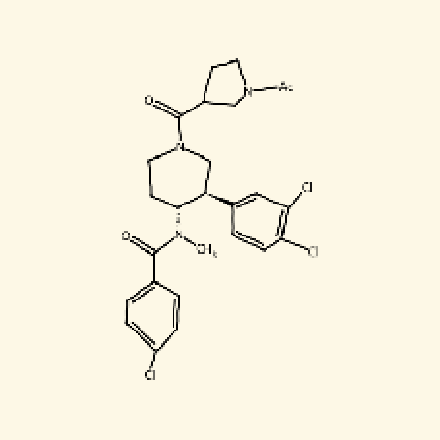 CC(=O)N1CCC(C(=O)N2CC[C@@H](N(C)C(=O)c3ccc(Cl)cc3)[C@H](c3ccc(Cl)c(Cl)c3)C2)C1